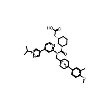 COc1ccc(C23CCC(CN(C(=O)[C@@H]4CCC[C@@H](CC(=O)O)C4)c4cc(-c5cnn(C(C)C)c5)ccn4)(CC2)CC3)cc1C